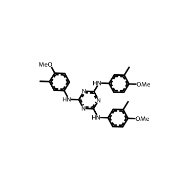 COc1ccc(Nc2nc(Nc3ccc(OC)c(C)c3)nc(Nc3ccc(OC)c(C)c3)n2)cc1C